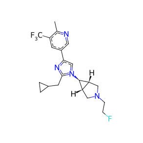 Cc1ncc(-c2cn([C@H]3[C@@H]4CN(CCF)C[C@@H]43)c(CC3CC3)n2)cc1C(F)(F)F